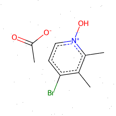 CC(=O)[O-].Cc1c(Br)cc[n+](O)c1C